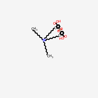 CCCCCCCCCC[N+](CCCCCCCCCC)(CCCCCCCCCC)CCCCCCCCCC.O=C(O)c1ccc(S(=O)(=O)c2ccc(C(=O)O)cc2)cc1